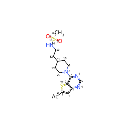 CC(=O)c1cc2ncnc(N3CCC(CCNS(C)(=O)=O)CC3)c2s1